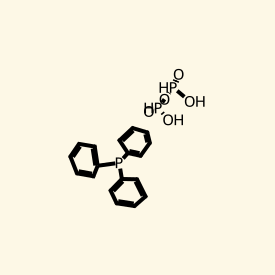 O=[PH](O)O[PH](=O)O.c1ccc(P(c2ccccc2)c2ccccc2)cc1